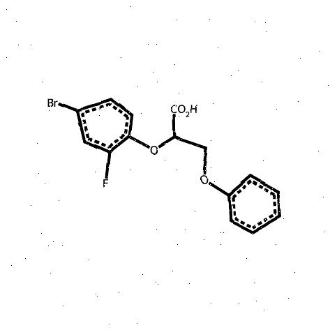 O=C(O)C(COc1ccccc1)Oc1ccc(Br)cc1F